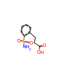 NS(=O)(=O)c1ccccc1CCC(=O)O